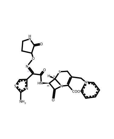 Nc1nc(/C(=N/OC2CCNC2=O)C(=O)N[C@@H]2C(=O)N3C(C(=O)[O-])=C(C[n+]4ccccc4)CS[C@@H]23)cs1